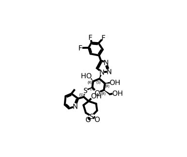 Cc1cccnc1[C@H](S[C@@H]1O[C@H](CO)[C@H](O)[C@H](n2cc(-c3cc(F)c(F)c(F)c3)nn2)[C@H]1O)C1(O)CCS(=O)(=O)CC1